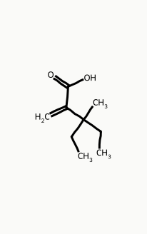 C=C(C(=O)O)C(C)(CC)CC